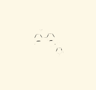 BC(B)(c1cnn(C)c1)c1ccc(OC)c(-c2cccc(Cl)c2)n1